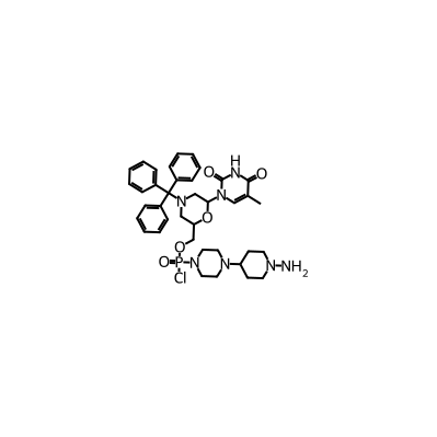 Cc1cn(C2CN(C(c3ccccc3)(c3ccccc3)c3ccccc3)CC(COP(=O)(Cl)N3CCN(C4CCN(N)CC4)CC3)O2)c(=O)[nH]c1=O